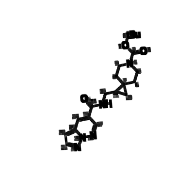 CC(C)(C)OC(=O)N1CCC2(CC1)CC2CNC(=O)c1cnn2nccc2c1